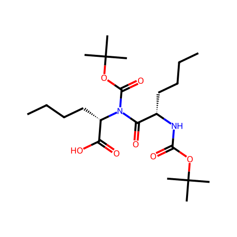 CCCC[C@H](NC(=O)OC(C)(C)C)C(=O)N(C(=O)OC(C)(C)C)[C@@H](CCCC)C(=O)O